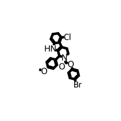 COc1ccc(C2c3[nH]c4c(c3CCN2C(=O)Oc2ccc(Br)cc2)=C(Cl)CCC=4)cc1